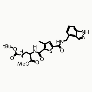 COC(=O)C(CNC(=O)OC(C)(C)C)NC(=O)c1sc(C(=O)NCc2cccc3[nH]ncc23)cc1C